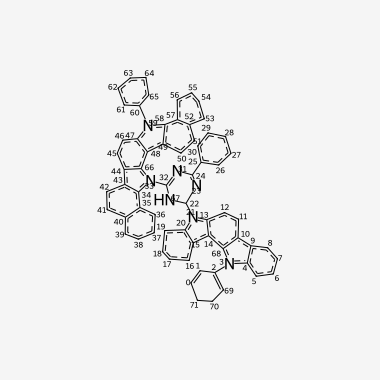 C1=CC(n2c3ccccc3c3ccc4c(c5ccccc5n4C4N=C(c5ccccc5)N=C(n5c6c7ccccc7ccc6c6ccc7c(c8ccc9ccccc9c8n7-c7ccccc7)c65)N4)c32)=CCC1